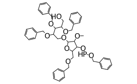 COC1C(OCC(OCc2ccccc2)C(OCc2ccccc2)C(CO)OCc2ccccc2)OC(COCc2ccccc2)C1OPOCc1ccccc1